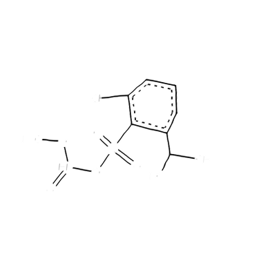 CO[PH](=O)OS(=O)(=O)c1c(Cl)cccc1C(C)C